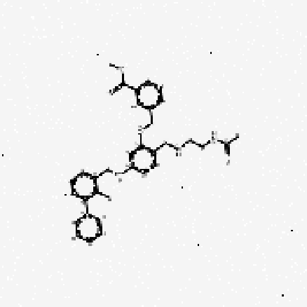 COC(=O)c1cccc(COc2cc(OCc3cccc(-c4ccccc4)c3C)ccc2CNCCNC(C)=O)c1